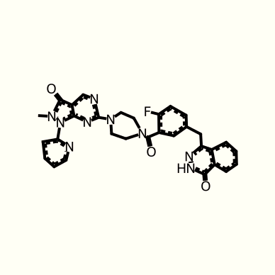 Cn1c(=O)c2cnc(N3CCN(C(=O)c4cc(Cc5n[nH]c(=O)c6ccccc56)ccc4F)CC3)nc2n1-c1ccccn1